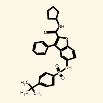 CC(C)(C)c1ccc(S(=O)(=O)Nc2ccc3sc(C(=O)NC4CCCC4)c(-c4ccccc4)c3c2)cc1